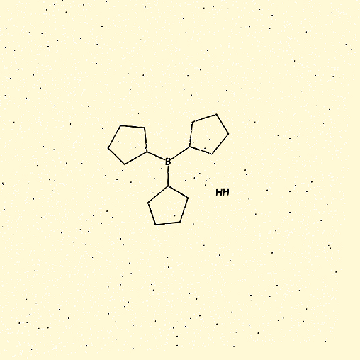 C1CCC(B(C2CCCC2)C2CCCC2)C1.[HH]